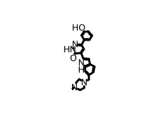 CN1CCN(Cc2ccc3cc(-c4cc(-c5cccc(O)c5)n[nH]c4=O)[nH]c3c2)CC1